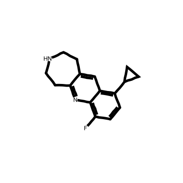 Fc1ccc(C2CC2)c2cc3c(nc12)CCNCC3